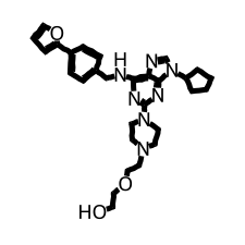 OCCOCCN1CCN(c2nc(NCc3ccc(-c4ccco4)cc3)c3ncn(C4CCCC4)c3n2)CC1